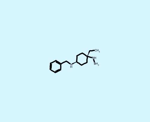 BN[C@]1(CC)CC[C@@H](NCc2ccccc2)CC1